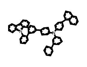 c1ccc(-c2cccc(N(c3ccc(-c4cccc(-c5ccccc5-n5c6ccccc6c6ccccc65)c4)cc3)c3ccc(-c4cccc5ccccc45)cc3)c2)cc1